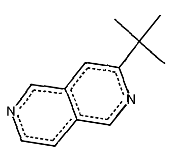 CC(C)(C)c1cc2cnccc2cn1